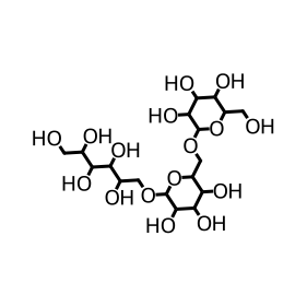 OCC(O)C(O)C(O)C(O)COC1OC(COC2OC(CO)C(O)C(O)C2O)C(O)C(O)C1O